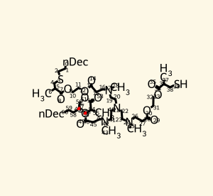 CCCCCCCCCCCCSCC(C)C(=O)OCCOC(=O)CCN(C)CCN(CCN(C)CCC(=O)OCCOC(=O)C(C)CS)CCN(C)CCC(=O)OCCOC(=O)C(C)CSCCCCCCCCCCCC